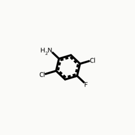 Nc1cc(Cl)c(F)cc1Cl